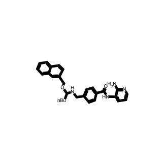 CCCCC(NCc1ccc(C(=O)Nc2cccnc2N)cc1)OCc1ccc2ccccc2c1